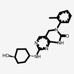 Cc1ccccc1N1Cc2cnc(N[C@H]3CC[C@H](O)CC3)nc2NC1=O